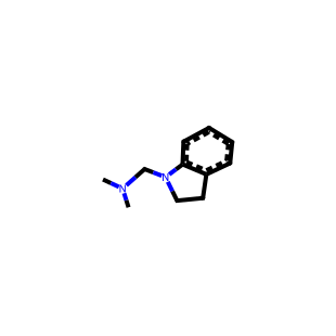 CN(C)CN1CCc2ccccc21